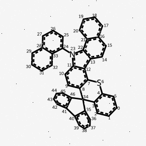 c1ccc2c(c1)Sc1c(ccc3c1c1ccc4ccccc4c1n3-c1cccc3ccccc13)C21c2ccccc2-c2ccccc21